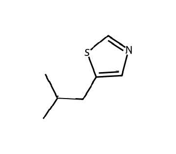 C[C](C)Cc1cncs1